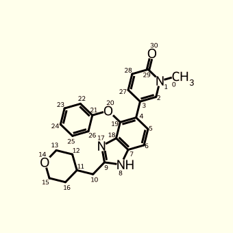 Cn1cc(-c2ccc3[nH]c(CC4CCOCC4)nc3c2Oc2ccccc2)ccc1=O